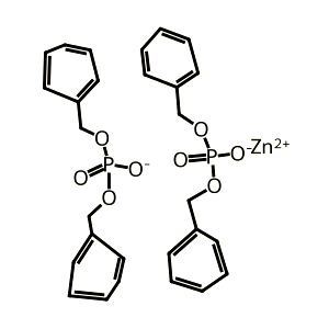 O=P([O-])(OCc1ccccc1)OCc1ccccc1.O=P([O-])(OCc1ccccc1)OCc1ccccc1.[Zn+2]